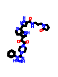 O=C(NCCCN1CCCC1=O)c1cc(-c2nccc3c(C(=O)C(=O)N4CCN(C5=NNNN5c5ccccc5)CC4)c[nH]c23)n[nH]1